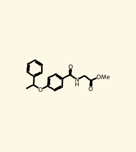 COC(=O)CNC(=O)c1ccc(OC(C)c2ccccc2)cc1